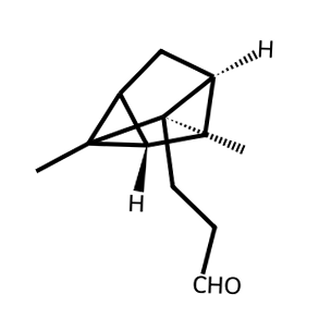 CC12C3C[C@@H](C[C@@H]31)[C@@]2(C)CCC=O